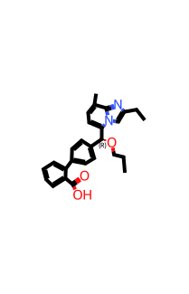 CCCO[C@H](c1ccc(-c2ccccc2C(=O)O)cc1)c1ccc(C)c2nc(CC)cn12